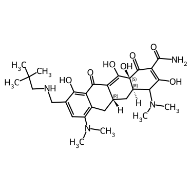 CN(C)c1cc(CNCC(C)(C)C)c(O)c2c1C[C@H]1C[C@@H]3C(N(C)C)C(O)=C(C(N)=O)C(=O)[C@@]3(O)C(O)=C1C2=O